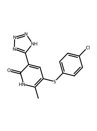 Cc1[nH]c(=O)c(-c2nnn[nH]2)cc1Sc1ccc(Cl)cc1